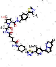 CNc1cc(-c2ccc3cc(C#N)cnn23)ncc1-c1nnc([C@H]2CC[C@H](NC(=O)CCCC(=O)N[C@H](C(=O)N3C[C@H](O)C[C@H]3C(=O)NCc3ccc(-c4scnc4C)cc3)C(C)(C)C)CC2)s1